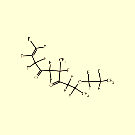 O=C(C(F)(F)C(F)=C(F)F)C(F)(F)C(F)(C(=O)C(F)(F)C(F)(OC(F)(F)C(F)(F)C(F)(F)F)C(F)(F)F)C(F)(F)F